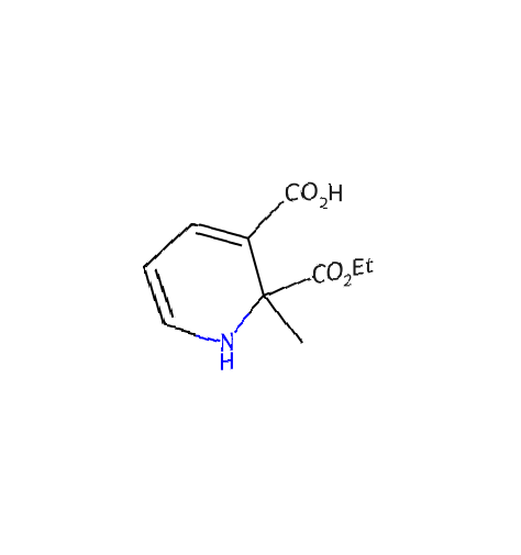 CCOC(=O)C1(C)NC=CC=C1C(=O)O